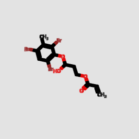 C=CC(=O)OCCC(O)Oc1c(Br)cc(Br)c(C)c1Br